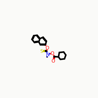 CN(OC(=O)C1CCCCC1)C(=S)Oc1ccc2ccccc2c1